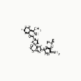 C[C@@H](NC(=O)N1CC[C@]2(C1)OCCn1nc(-c3cnc(N)c(OC(F)F)c3)cc12)c1ccccc1